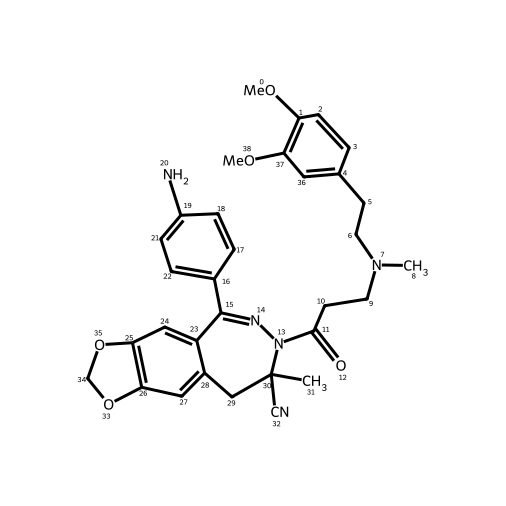 COc1ccc(CCN(C)CCC(=O)N2N=C(c3ccc(N)cc3)c3cc4c(cc3CC2(C)C#N)OCO4)cc1OC